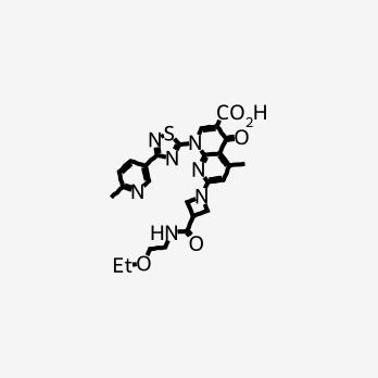 CCOCCNC(=O)C1CN(c2cc(C)c3c(=O)c(C(=O)O)cn(-c4nc(-c5ccc(C)nc5)ns4)c3n2)C1